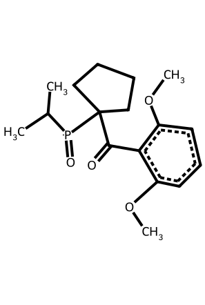 COc1cccc(OC)c1C(=O)C1([P](=O)C(C)C)CCCC1